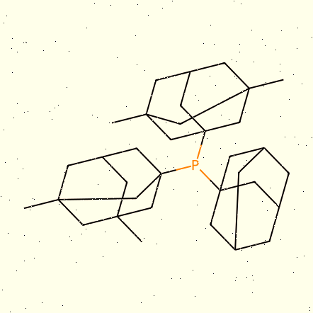 CC12CC3CC(C)(C1)CC(P(C14CC5CC(CC(C5)C1)C4)C14CC5CC(C)(CC(C)(C5)C1)C4)(C3)C2